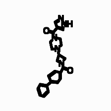 O=C(c1cn[nH]c1)N1CCN(C2CN(C(=O)c3ccc(-c4ccccc4)cc3)C2)CC1